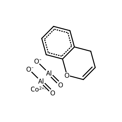 C1=COc2ccccc2C1.[Co+2].[O]=[Al][O-].[O]=[Al][O-]